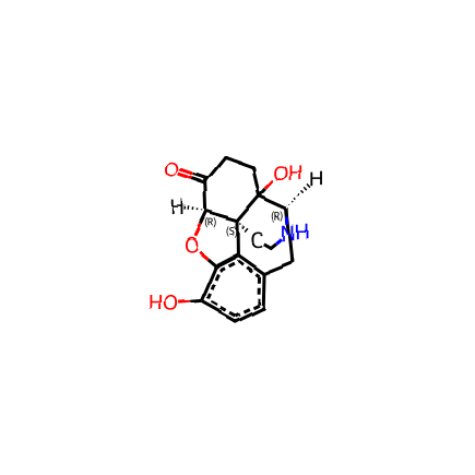 O=C1CCC2(O)[C@H]3Cc4ccc(O)c5c4[C@@]2(CCN3)[C@H]1O5